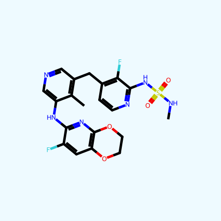 CNS(=O)(=O)Nc1nccc(Cc2cncc(Nc3nc4c(cc3F)OCCO4)c2C)c1F